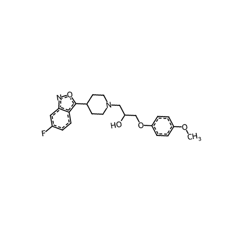 COc1ccc(OCC(O)CN2CCC(c3onc4cc(F)ccc34)CC2)cc1